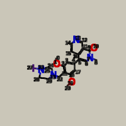 COc1cc(-c2cn(C)c(=O)c3cnccc23)cc(OC)c1CN1CCN(I)CC1